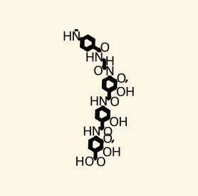 CNc1ccc(C(=O)NCC(=O)Nc2ccc(C(=O)Nc3ccc(C(=O)Nc4ccc(C(=O)O)c(O)c4OC)c(O)c3)c(O)c2OC)cc1